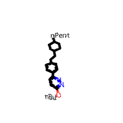 CCCCCC1CCC(CCc2ccc(-c3ccc(OCCCC)nn3)cc2)CC1